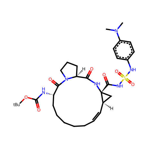 CN(C)c1ccc(NS(=O)(=O)NC(=O)[C@@]23C[C@H]2/C=C\CCCCC[C@H](NC(=O)OC(C)(C)C)C(=O)N2CCC[C@H]2C(=O)N3)cc1